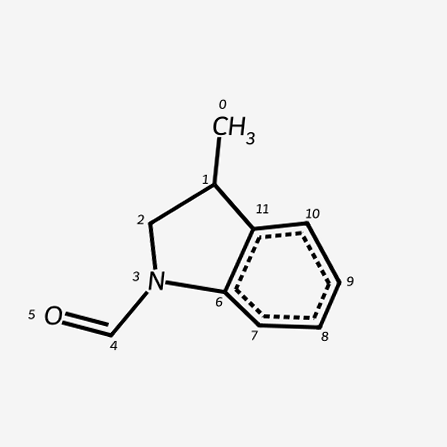 CC1CN(C=O)c2ccccc21